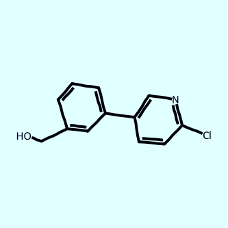 OCc1cccc(-c2ccc(Cl)nc2)c1